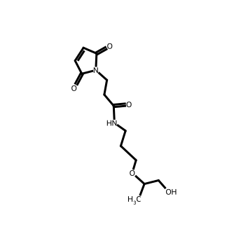 CC(CO)OCCCNC(=O)CCN1C(=O)C=CC1=O